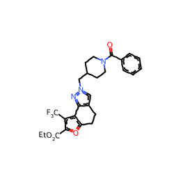 CCOC(=O)c1oc2c(c1C(F)(F)F)-c1nn(CC3CCN(C(=O)c4ccccc4)CC3)cc1CC2